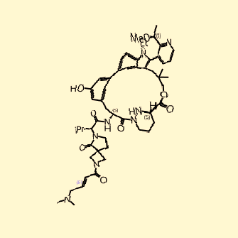 CCn1c(-c2cccnc2[C@H](C)OC)c2c3cc(ccc31)-c1cc(O)cc(c1)C[C@H](NC(=O)C(C(C)C)N1CCC3(CN(C(=O)/C=C/CN(C)C)C3)C1=O)C(=O)N1CCC[C@H](N1)C(=O)OCC(C)(C)C2